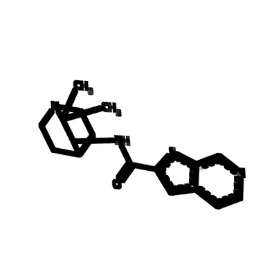 CC1(C)C(NC(=O)c2cc3ccncc3s2)C2CCN1CC2